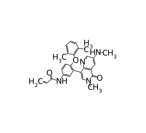 C=CC(=O)Nc1ccc(Oc2c(C)cccc2C)c(-c2cn(C)c(=O)c3cc(NC)cnc23)c1